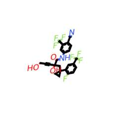 N#Cc1ccc(NC(=O)C(O)(C#CCO)CC2(c3cc(C(F)(F)F)ccc3F)CC2)cc1C(F)(F)F